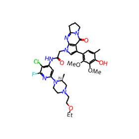 CCOCCN1CCN(c2cc(NC(=O)Cn3cc(-c4cc(C)c(O)c(OC)c4OC)c4c(=O)n5c(nc43)CCC5)c(Cl)c(F)n2)[C@@H](C)C1